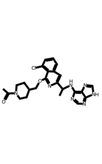 CC(=O)N1CCC(COc2nc(C(C)Nc3ncnc4[nH]cnc34)cc3cccc(Cl)c23)CC1